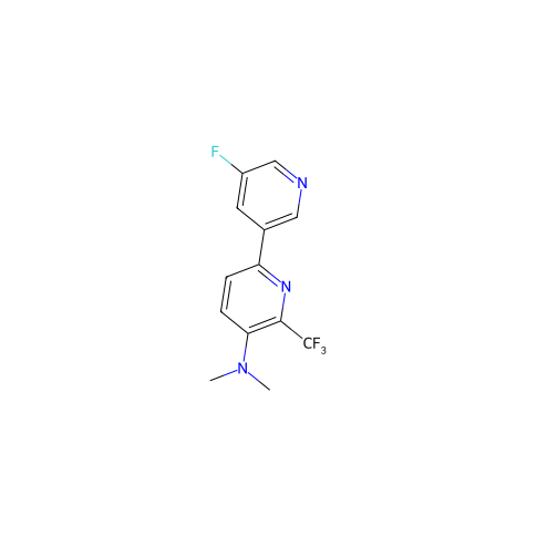 CN(C)c1ccc(-c2cncc(F)c2)nc1C(F)(F)F